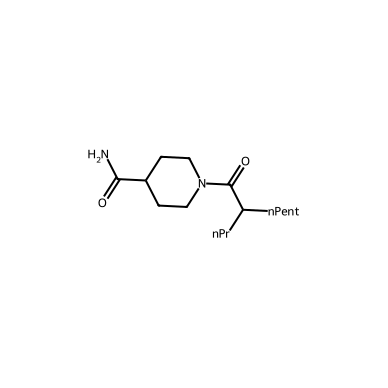 CCCCCC(CCC)C(=O)N1CCC(C(N)=O)CC1